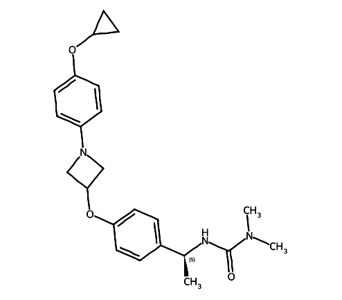 C[C@H](NC(=O)N(C)C)c1ccc(OC2CN(c3ccc(OC4CC4)cc3)C2)cc1